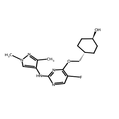 Cc1nn(C)cc1Nc1ncc(F)c(OC[C@H]2CC[C@H](O)CC2)n1